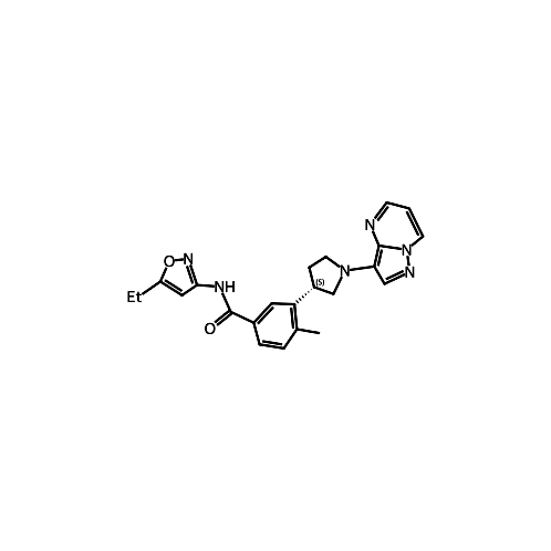 CCc1cc(NC(=O)c2ccc(C)c([C@@H]3CCN(c4cnn5cccnc45)C3)c2)no1